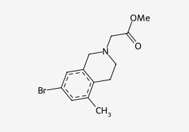 COC(=O)CN1CCc2c(C)cc(Br)cc2C1